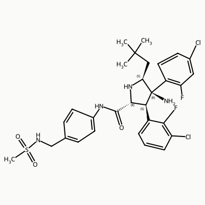 CC(C)(C)C[C@@H]1N[C@@H](C(=O)Nc2ccc(CNS(C)(=O)=O)cc2)[C@H](c2cccc(Cl)c2F)[C@@]1(N)c1ccc(Cl)cc1F